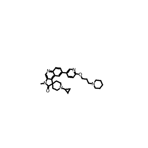 CN1C(=O)C2(CCN(C3CC3)CC2)c2c1cnc1ccc(-c3ccc(OCCCN4CCCCC4)nc3)cc21